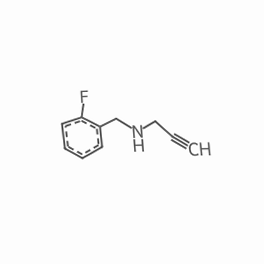 C#CCNCc1ccccc1F